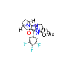 COc1cccc(C(=O)N2[C@@H]3CC[C@H]2c2nn(C)c(-c4cc(F)c(F)c(F)c4)c2C3)n1